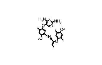 C/C=C(/C#N)Oc1cc(I)c(OC)cc1I.COc1cc(I)c(Oc2cnc(N)nc2N)cc1I